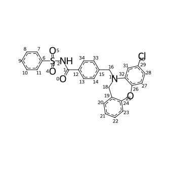 O=C(NS(=O)(=O)c1ccccc1)c1ccc(CN2Cc3ccccc3Oc3ccc(Cl)cc32)cc1